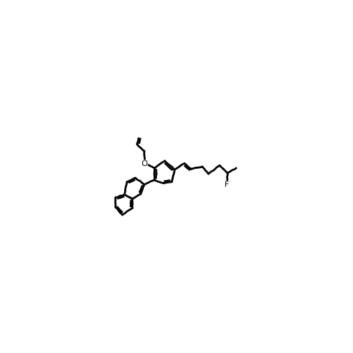 C=CCOc1cc(C=CCCCC(C)F)ccc1-c1ccc2ccccc2c1